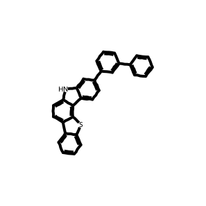 c1ccc(-c2cccc(-c3ccc4c(c3)[nH]c3ccc5c6ccccc6sc5c34)c2)cc1